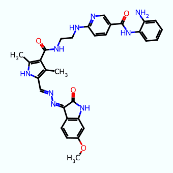 COc1ccc2c(c1)NC(=O)C2=NN=Cc1[nH]c(C)c(C(=O)NCCNc2ccc(C(=O)Nc3ccccc3N)cn2)c1C